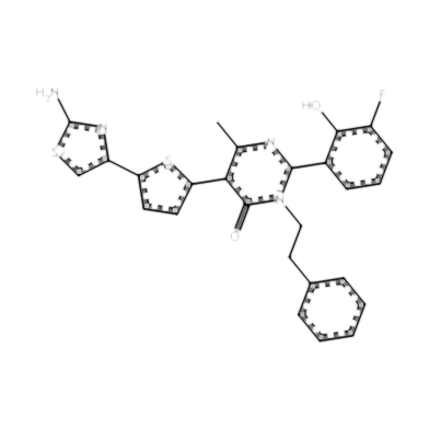 Cc1nc(-c2cccc(F)c2O)n(CCc2ccccc2)c(=O)c1-c1ccc(-c2csc(N)n2)s1